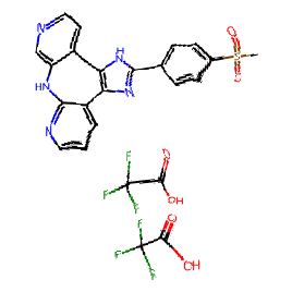 CS(=O)(=O)c1ccc(-c2nc3c([nH]2)-c2ccncc2Nc2ncccc2-3)cc1.O=C(O)C(F)(F)F.O=C(O)C(F)(F)F